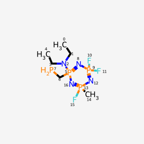 CCN(CC)P1(CP)=NP(F)(F)=NP(C)(F)=N1